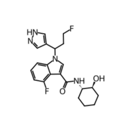 O=C(N[C@H]1CCCC[C@@H]1O)c1cn(C(CCF)c2cn[nH]c2)c2cccc(F)c12